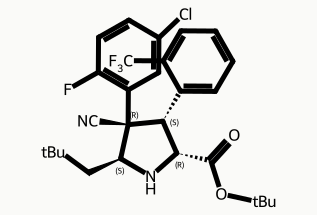 CC(C)(C)C[C@@H]1N[C@@H](C(=O)OC(C)(C)C)[C@@H](c2ccccc2C(F)(F)F)[C@@]1(C#N)c1cc(Cl)ccc1F